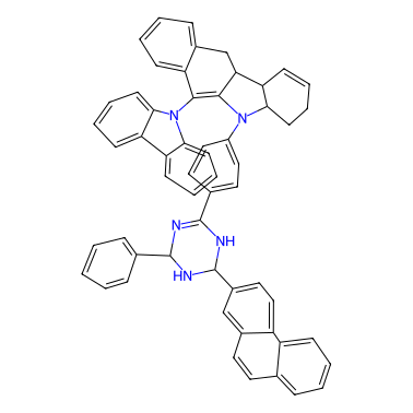 C1=CC2C3Cc4ccccc4C(n4c5ccccc5c5ccccc54)=C3N(c3ccc(C4=NC(c5ccccc5)NC(c5ccc6c(ccc7ccccc76)c5)N4)cc3)C2CC1